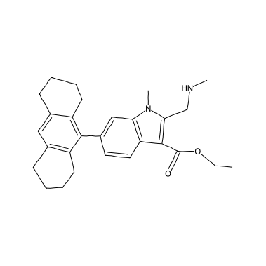 CCOC(=O)c1c(CNC)n(C)c2cc(-c3c4c(cc5c3CCCC5)CCCC4)ccc12